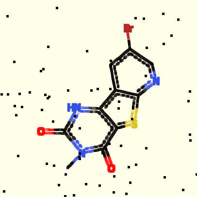 Cn1c(=O)[nH]c2c(sc3ncc(Br)cc32)c1=O